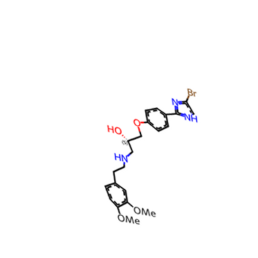 COc1ccc(CCNC[C@H](O)COc2ccc(-c3nc(Br)c[nH]3)cc2)cc1OC